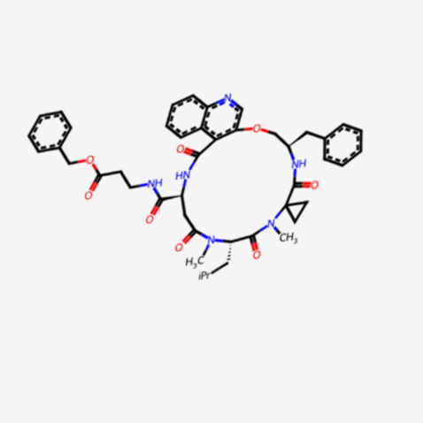 CC(C)C[C@H]1C(=O)N(C)C2(CC2)C(=O)N[C@H](Cc2ccccc2)COc2cnc3ccccc3c2C(=O)N[C@H](C(=O)NCCC(=O)OCc2ccccc2)CC(=O)N1C